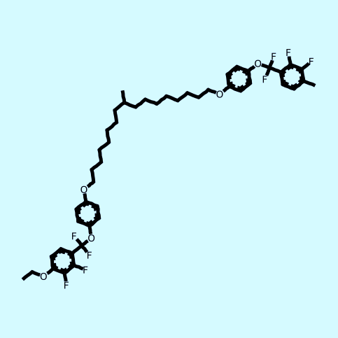 CCOc1ccc(C(F)(F)Oc2ccc(OCCCCCCCCC(C)CCCCCCCCOc3ccc(OC(F)(F)c4ccc(C)c(F)c4F)cc3)cc2)c(F)c1F